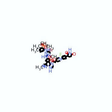 COc1cc(C2CNCCN2C(=O)CC2(O)CCN(c3ccc(C4CCC(=O)NC4=O)cc3F)CC2)c(-c2cnn(C)c2)cc1Nc1ncc(Br)c(Nc2ccc(C)c(C)c2P(=O)(OC)OC)n1